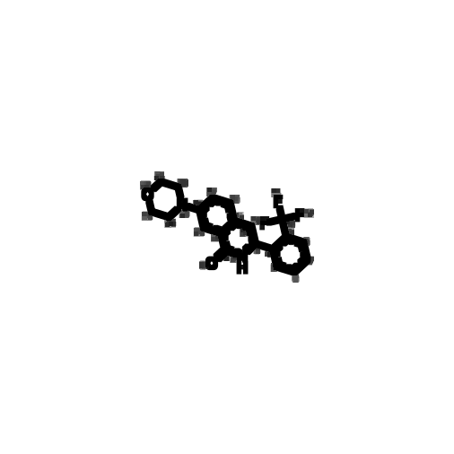 O=c1[nH]c(-c2ccccc2C(F)(F)F)cc2ccc(N3CCOCC3)cc12